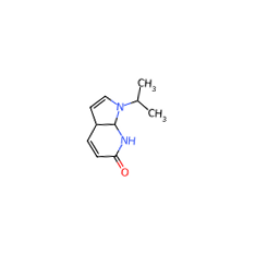 CC(C)N1C=CC2C=CC(=O)NC21